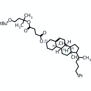 CC(C)CCCC(C)C1CC[C@H]2[C@@H]3CC=C4C[C@@H](OC(=O)CCC(=O)OC(C)(C)CCOC(C)(C)C)CC[C@]4(C)[C@H]3CC[C@]12C